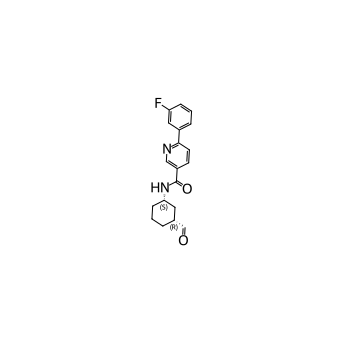 O=C[C@@H]1CCC[C@H](NC(=O)c2ccc(-c3cccc(F)c3)nc2)C1